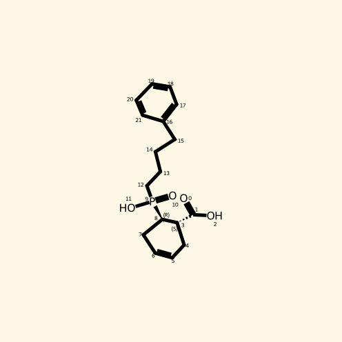 O=C(O)[C@@H]1CC=CC[C@H]1P(=O)(O)CCCCc1ccccc1